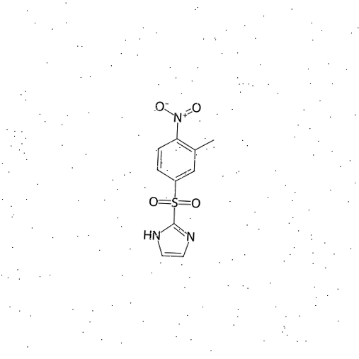 Cc1cc(S(=O)(=O)c2ncc[nH]2)ccc1[N+](=O)[O-]